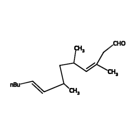 CCCCC=CC(C)CC(C)C=C(C)CC=O